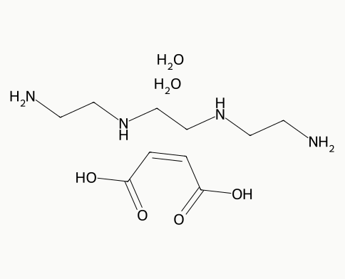 NCCNCCNCCN.O.O.O=C(O)/C=C\C(=O)O